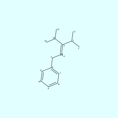 CC(C)C(=NCc1ccccc1)C(C)C